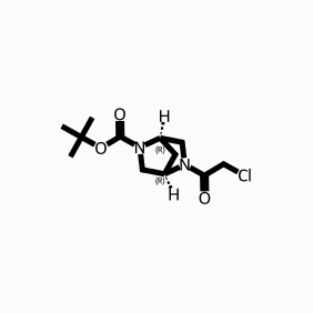 CC(C)(C)OC(=O)N1C[C@H]2C[C@@H]1CN2C(=O)CCl